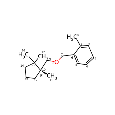 Cc1ccccc1COC[C@]1(C)CCCC1(C)C